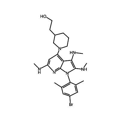 CNc1cc(N2CCCC(CCO)C2)c2c(NC)c(NC)n(-c3c(C)cc(Br)cc3C)c2n1